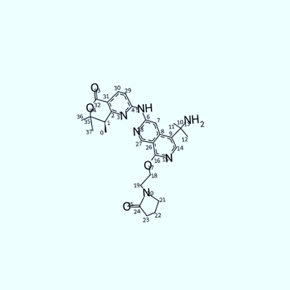 C[C@@H]1c2nc(Nc3cc4c(C(C)(C)N)cnc(OCCN5CCCC5=O)c4cn3)ccc2C(=O)OC1(C)C